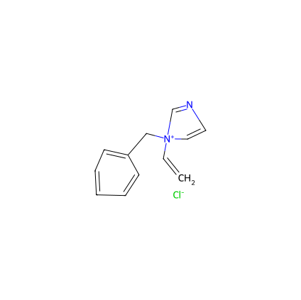 C=C[N+]1(Cc2ccccc2)C=CN=C1.[Cl-]